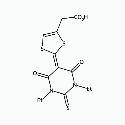 CCN1C(=O)C(=C2SC=C(CC(=O)O)S2)C(=O)N(CC)C1=S